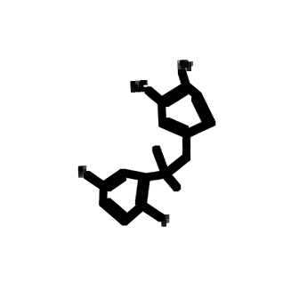 CC(C)c1ccc(CC(C)(C)c2cc(F)ccc2F)cc1C#N